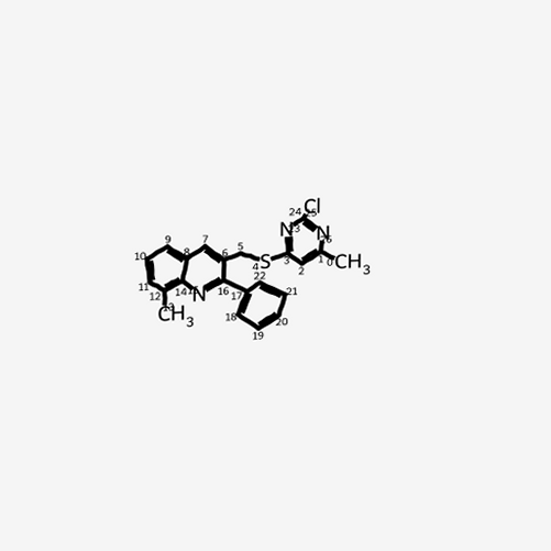 Cc1cc(SCc2cc3cccc(C)c3nc2-c2ccccc2)nc(Cl)n1